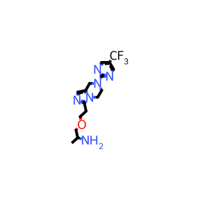 CC(N)COCCc1ncc2n1CCN(c1ncc(C(F)(F)F)cn1)C2